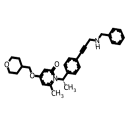 Cc1cc(OCC2CCOCC2)cc(=O)n1[C@@H](C)c1ccc(C#CCNCc2ccccc2)cc1